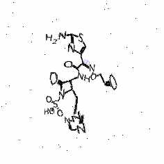 Nc1nc(/C(=N/OCC=O)C(=O)NC2C(=O)N(S(=O)(=O)O)C2Cn2cncn2)cs1